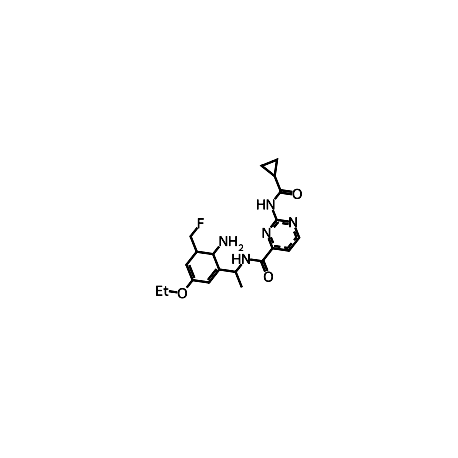 CCOC1=CC(CF)C(N)C(C(C)NC(=O)c2ccnc(NC(=O)C3CC3)n2)=C1